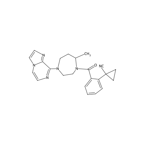 CC1CCN(c2nccn3ccnc23)CCN1C(=O)c1ccccc1C1(C#N)CC1